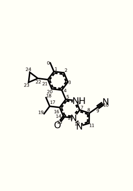 Cc1ccc(-c2[nH]c3c(C#N)cnn3c(=O)c2C(C)C)cc1C1CC1